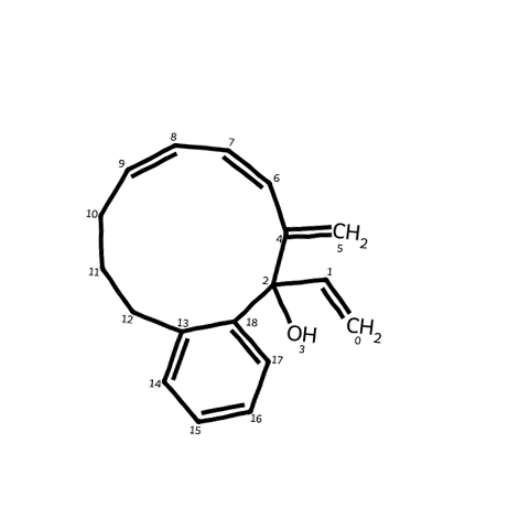 C=CC1(O)C(=C)/C=C\C=C/CCCc2ccccc21